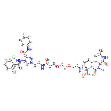 CN(C(=O)c1cccc(NCCOCCOCCC(=O)NCCn2cc(NC(=O)c3c(Cl)cccc3Cl)c(C(=O)NC3CCNCC3)n2)c1C=O)C1CCC(=O)NC1=O